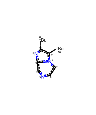 CC(C)(C)c1nc2cnccn2c1C(C)(C)C